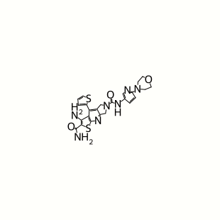 NC(=O)c1sc2nc3c(c(-c4cccs4)c2c1N)CN(C(=O)Nc1ccc(N2CCOCC2)nc1)C3